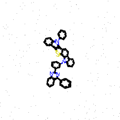 c1ccc(-c2nc(-c3cccc(-n4c5ccccc5c5ccc6c(sc7c8ccccc8n(-c8ccccc8)c67)c54)c3)nc3ccccc23)cc1